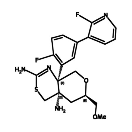 COC[C@H]1C[C@@]2(N)CSC(N)=N[C@@]2(c2cc(-c3cccnc3F)ccc2F)CO1